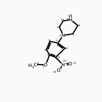 COc1ccc(N2CCNCC2)cc1[N+](=O)[O-]